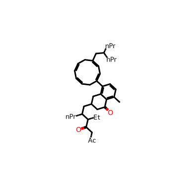 CCCC(CCC)C/C1=C/C=C(/c2ccc(C)c3c2CC(CC(CCC)C(CC)C(=O)CC(C)=O)CC3=O)C/C=C\C=C/C1